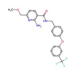 COCc1ccc(C(=O)NCc2ccc(Oc3cccc(C(F)(F)F)c3)cc2)c(N)n1